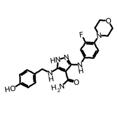 NC(=O)c1c(Nc2ccc(N3CCOCC3)c(F)c2)n[nH]c1NCc1ccc(O)cc1